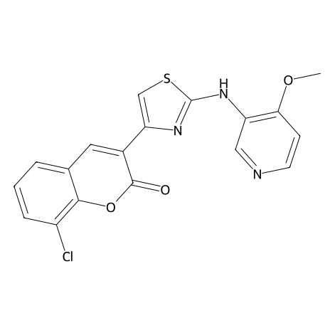 COc1ccncc1Nc1nc(-c2cc3cccc(Cl)c3oc2=O)cs1